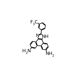 Nc1ccc2c(c1)c1cc(N)ccc1c1[nH]c(-c3cccc(C(F)(F)F)c3)nc21